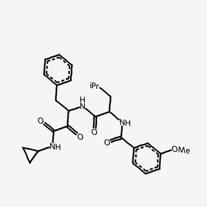 COc1cccc(C(=O)NC(CC(C)C)C(=O)NC(Cc2ccccc2)C(=O)C(=O)NC2CC2)c1